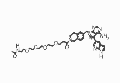 CC(=O)NCCOCCOCCOCCOCCC(=O)N1CCc2cc(Cn3nc(-c4cnc5[nH]ccc5c4)c4c(N)ncnc43)ccc2C1